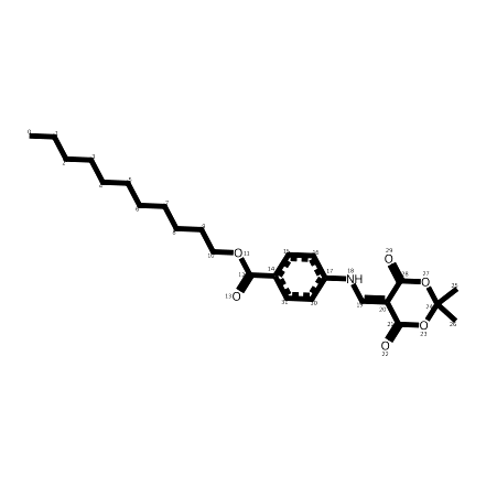 CCCCCCCCCCCOC(=O)c1ccc(NC=C2C(=O)OC(C)(C)OC2=O)cc1